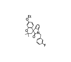 CCOc1ccc2c(c1)OC(C)(C)CC21C(=O)N(Cc2cccc(F)c2)c2ccccc21